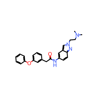 CN(C)CCn1cc2cc(NC(=O)Cc3cccc(Oc4ccccc4)c3)ccc2n1